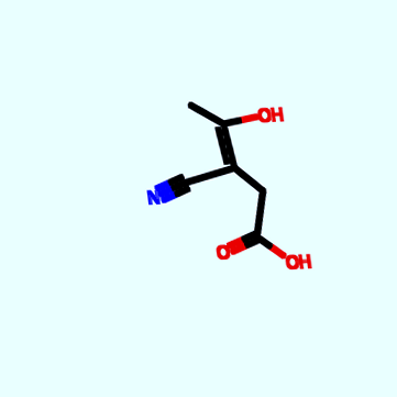 CC(O)=C(C#N)CC(=O)O